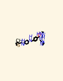 Cc1ccsc1CNC1CCC(NCc2ccc(C(=O)N(Cc3ncc[nH]3)Cc3ncc[nH]3)cc2)CC1